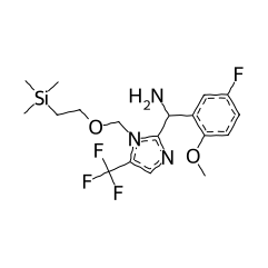 COc1ccc(F)cc1C(N)c1ncc(C(F)(F)F)n1COCC[Si](C)(C)C